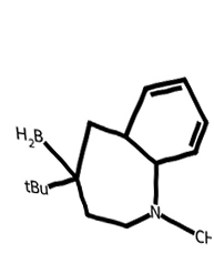 BC1(C(C)(C)C)CCN(C)C2C=CC=CC2C1